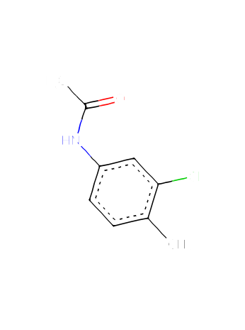 Cc1ccc(NC(=O)C(F)(F)F)cc1Cl